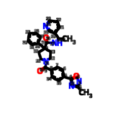 Cc1noc(-c2ccc(C(=O)N3CCC(C(=O)NC(C)c4cccnc4)(c4ccccc4)CC3)cc2)n1